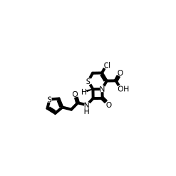 O=C(Cc1ccsc1)NC1C(=O)N2C(C(=O)O)=C(Cl)CS[C@@H]12